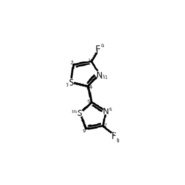 Fc1csc(-c2nc(F)cs2)n1